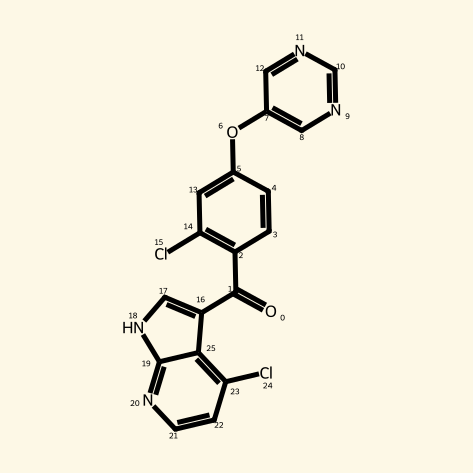 O=C(c1ccc(Oc2cncnc2)cc1Cl)c1c[nH]c2nccc(Cl)c12